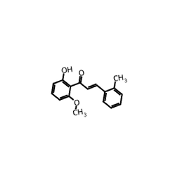 COc1cccc(O)c1C(=O)/C=C/c1ccccc1C